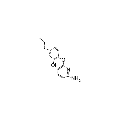 CCCc1ccc(Oc2cccc(N)n2)c(O)c1